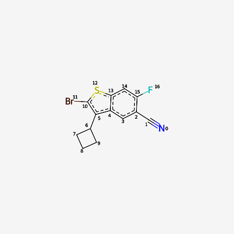 N#Cc1cc2c(C3CCC3)c(Br)sc2cc1F